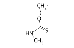 [CH2]COC(=S)NC